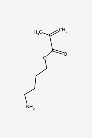 C=C(C)C(=O)OCCCCN